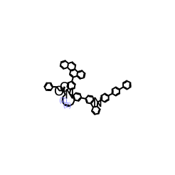 O=C(OCc1ccccc1)C1/C=C\C=C/Cc2cc(-c3ccc4c(c3)C3C=CC=CC3N4c3ccc(-c4ccc(-c5ccccc5)cc4)cc3)ccc2N1c1ccc(-c2cc3c(c4ccccc24)C=CC2C=CC=CC32)cc1